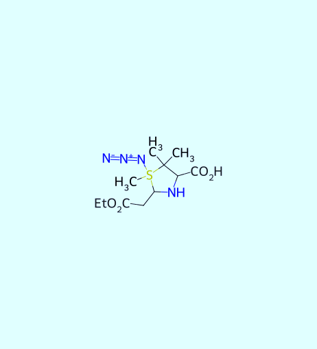 CCOC(=O)CC1NC(C(=O)O)C(C)(C)S1(C)N=[N+]=[N-]